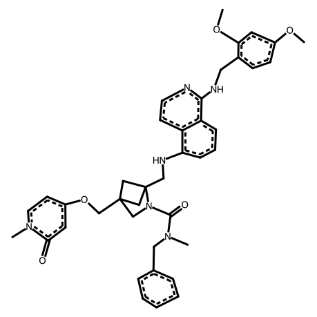 COc1ccc(CNc2nccc3c(NCC45CC(COc6ccn(C)c(=O)c6)(CN4C(=O)N(C)Cc4ccccc4)C5)cccc23)c(OC)c1